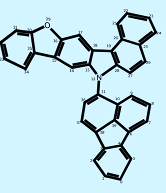 c1ccc2c(c1)-c1cccc3c(-n4c5cc6c(cc5c5c7ccccc7ccc54)oc4ccccc46)ccc-2c13